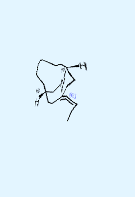 C/C=C1/C[C@H]2CCC[C@@H](C1)N2C